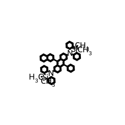 C[Si]1(C)c2ccccc2N(c2ccc3c(-c4ccc5ccccc5c4)c4cc(N5c6ccccc6[Si](C)(C)c6ccccc65)ccc4c(-c4ccccc4)c3c2)c2ccccc21